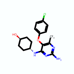 Nc1nc(N[C@H]2CC[C@H](O)CC2)c(Oc2ccc(Cl)cc2)c(C(F)(F)F)n1